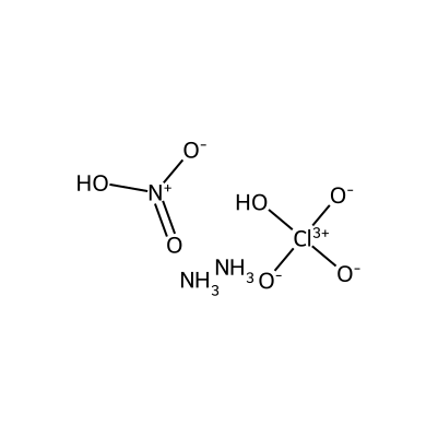 N.N.O=[N+]([O-])O.[O-][Cl+3]([O-])([O-])O